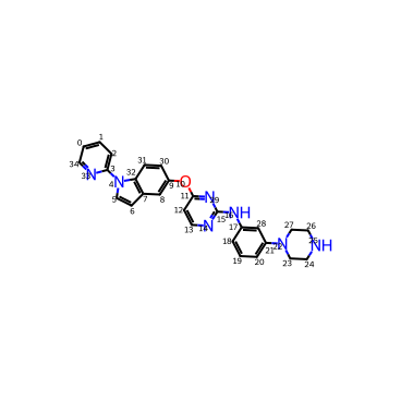 c1ccc(-n2ccc3cc(Oc4ccnc(Nc5cccc(N6CCNCC6)c5)n4)ccc32)nc1